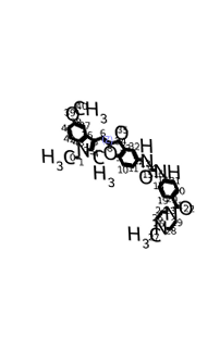 CCn1c(C)c(/C=C2\Oc3ccc(NC(=O)Nc4ccc(C(=O)N5CCN(C)CC5)cc4)cc3C2=O)c2cc(OC)ccc21